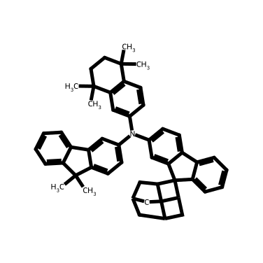 CC1(C)CCC(C)(C)c2cc(N(c3ccc4c(c3)-c3ccccc3C4(C)C)c3ccc4c(c3)C3(c5ccccc5-4)C4CC5CC6CC3C64C5)ccc21